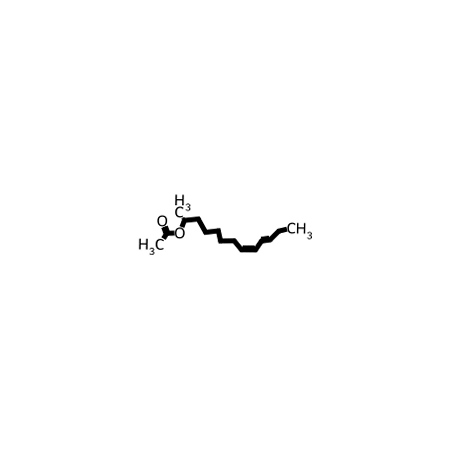 CC/C=C/C=C\CCCCC[C@H](C)OC(C)=O